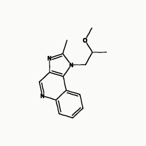 COC(C)Cn1c(C)nc2cnc3ccccc3c21